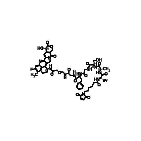 Cc1c(F)cc2nc3c(c4c2c1CC[C@@H]4NC(=O)COCNC(=O)CNC(=O)[C@H](Cc1ccccc1)NC(=O)CNC(=O)[C@H](CO)NC(=O)[C@H](C)NC(=O)[C@@H](NC(=O)CCCCCN1C(=O)C=CC1=O)C(C)C)Cn1c-3cc2c(c1=O)COC(=O)[C@H]2O